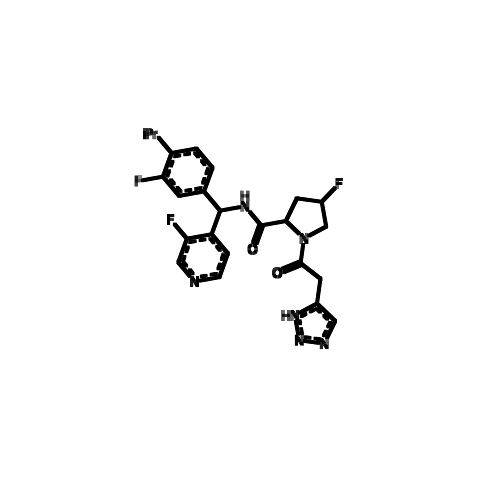 CC(C)c1ccc(C(NC(=O)C2CC(F)CN2C(=O)Cc2cnn[nH]2)c2ccncc2F)cc1F